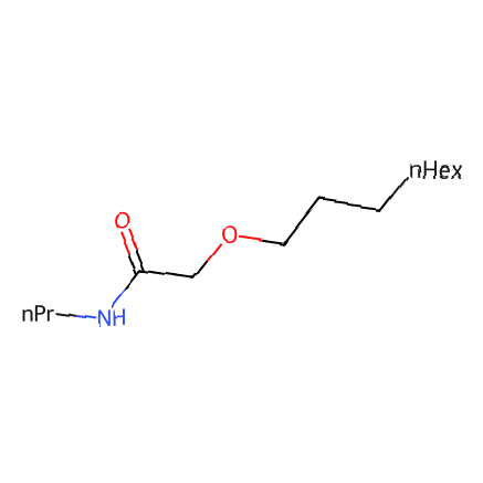 CCCCCCCCCOCC(=O)NCCC